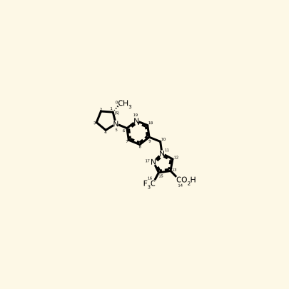 C[C@H]1CCCN1c1ccc(Cn2cc(C(=O)O)c(C(F)(F)F)n2)cn1